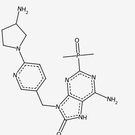 CP(C)(=O)c1nc(N)c2[nH]c(=O)n(Cc3ccc(N4CCC(N)C4)nc3)c2n1